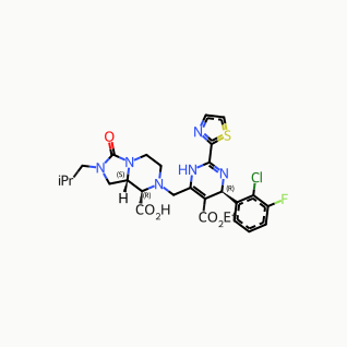 CCOC(=O)C1=C(CN2CCN3C(=O)N(CC(C)C)C[C@H]3[C@@H]2C(=O)O)NC(c2nccs2)=N[C@H]1c1cccc(F)c1Cl